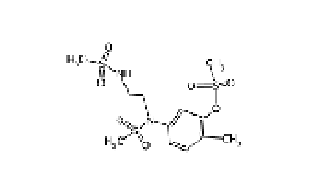 Cc1ccc(N(CCNS(C)(=O)=O)S(C)(=O)=O)cc1OS(C)(=O)=O